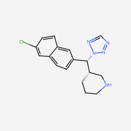 Clc1ccc2cc([C@@H]([C@H]3CCCNC3)n3ncnn3)ccc2c1